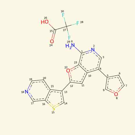 Nc1ncc(-c2ccoc2)c2cc(-c3csc4cnccc34)oc12.O=C(O)C(F)(F)F